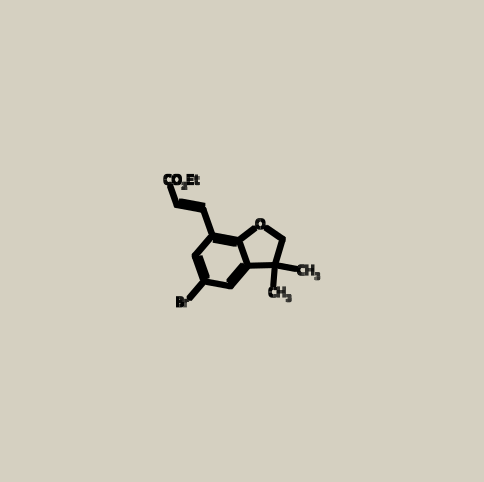 CCOC(=O)C=Cc1cc(Br)cc2c1OCC2(C)C